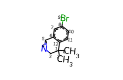 CC1(C)CN=Cc2cc(Br)ccc21